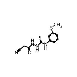 CSc1cccc(NC(=S)NNC(=O)CC#N)c1